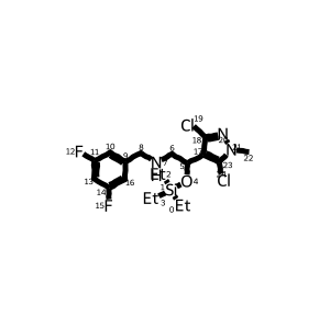 CC[Si](CC)(CC)OC(CNCc1cc(F)cc(F)c1)c1c(Cl)nn(C)c1Cl